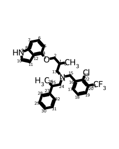 CC(COc1cccc2[nH]ccc12)CN(Cc1cccc(C(F)(F)F)c1Cl)CC(C)c1ccccc1